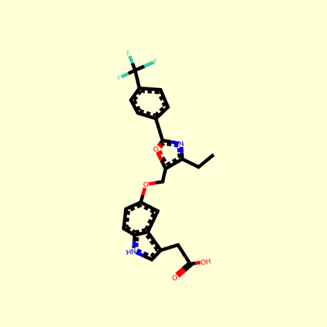 CCc1nc(-c2ccc(C(F)(F)F)cc2)oc1COc1ccc2[nH]cc(CC(=O)O)c2c1